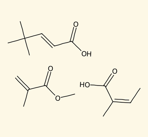 C=C(C)C(=O)OC.CC(C)(C)C=CC(=O)O.CC=C(C)C(=O)O